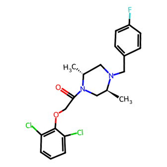 C[C@@H]1CN(Cc2ccc(F)cc2)[C@@H](C)CN1C(=O)COc1c(Cl)cccc1Cl